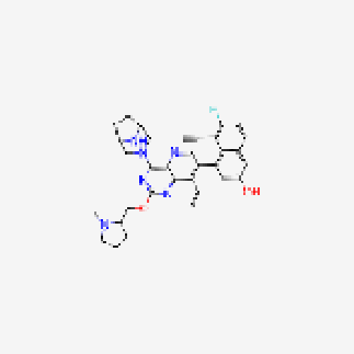 C#Cc1c(F)ccc2cc(O)cc(-c3cnc4c(N5CC6CCC(C5)N6)nc(OCC5CCCN5C)nc4c3C=C)c12